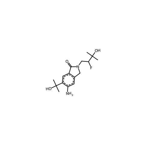 CC(C)(O)c1cc2c(cc1N)CN(CC(F)C(C)(C)O)C2=O